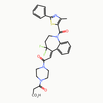 Cc1nc(-c2ccccc2)sc1C(=O)N1CCC(F)(F)C(=CC(=O)N2CCN(C(=O)CC(=O)O)CC2)c2ccccc21